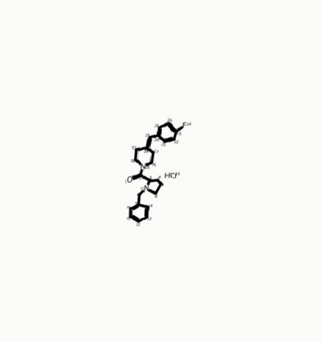 Cl.O=C(C1CCCN1Cc1ccccc1)N1CCC(=Cc2ccc(F)cc2)CC1